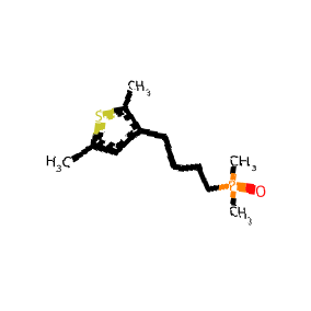 Cc1cc(CCCCP(C)(C)=O)c(C)s1